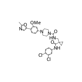 COc1cc(N2CCN(C(=O)NCC3(C(=O)Nc4ccc(Cl)c(Cl)c4)CC3)CC2)ccc1-c1cnc(C)o1